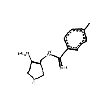 Cc1ccc(C(=N)NC2CNCC2N)cc1